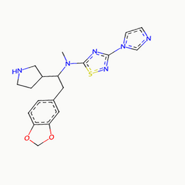 CN(c1nc(-n2ccnc2)ns1)C(Cc1ccc2c(c1)OCO2)C1CCNC1